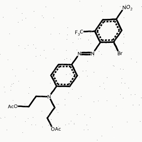 CC(=O)OCCN(CCOC(C)=O)c1ccc(N=Nc2c(Br)cc([N+](=O)[O-])cc2C(F)(F)F)cc1